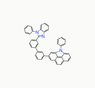 c1ccc(-n2c(-c3cccc(-c4cccc(-c5cc6ccc7cccc8c7c6c(c5)n8-c5ccccc5)c4)c3)nc3ccccc32)cc1